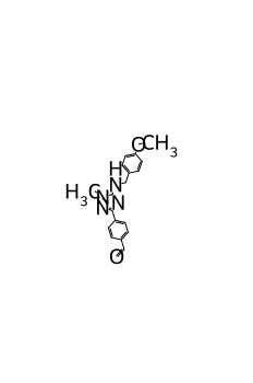 COc1ccc(CNc2nc(-c3ccc(C=O)cc3)nn2C)cc1